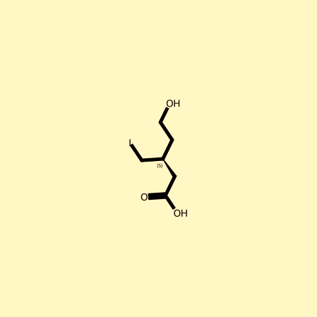 O=C(O)C[C@@H](CI)CCO